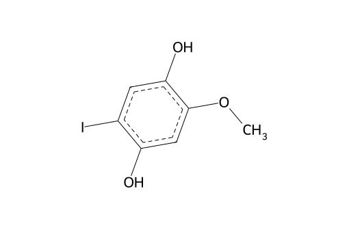 COc1cc(O)c(I)cc1O